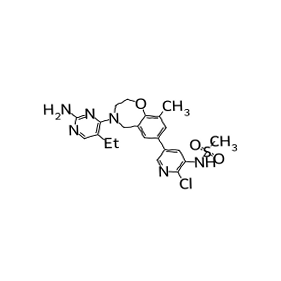 CCc1cnc(N)nc1N1CCOc2c(C)cc(-c3cnc(Cl)c(NS(C)(=O)=O)c3)cc2C1